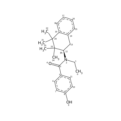 CCN(C(=O)c1ccc(O)cc1)[C@@H]1Cc2ccccc2C(C)(C)C1(C)C